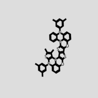 Cc1cc(C)cc(N2c3ccccc3B3c4sc5c6c(sc5c4Oc4cccc2c43)Oc2cccc3c2B6c2c(sc(C)c2C)N3c2cc(C)cc(C)c2)c1